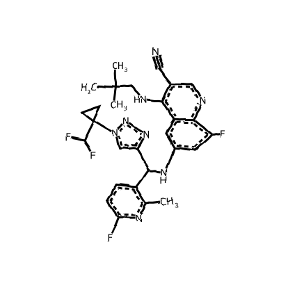 Cc1nc(F)ccc1C(Nc1cc(F)c2ncc(C#N)c(NCC(C)(C)C)c2c1)c1cn(C2(C(F)F)CC2)nn1